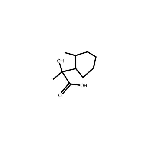 CC1CCCCC1C(C)(O)C(=O)O